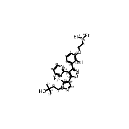 CCN(CC)CCOc1cccc(-c2noc(-c3cnn(CCC(C)(C)O)c3C(F)(F)F)c2-c2ncccn2)c1Cl